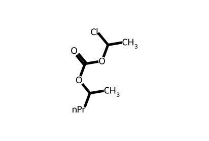 CCCC(C)OC(=O)OC(C)Cl